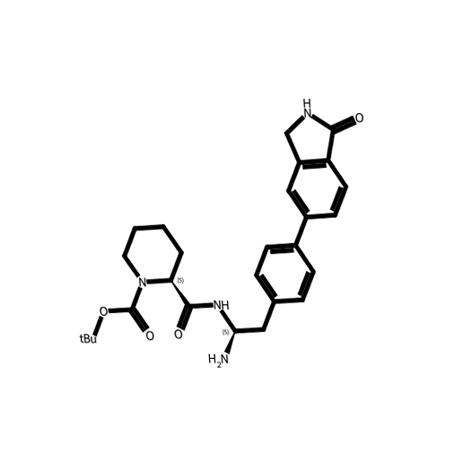 CC(C)(C)OC(=O)N1CCCC[C@H]1C(=O)N[C@H](N)Cc1ccc(-c2ccc3c(c2)CNC3=O)cc1